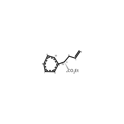 C=CC[C@H](C(=O)OCC)c1ccccc1